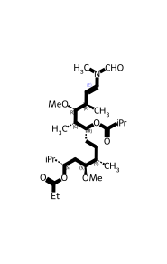 CCC(=O)O[C@@H](C[C@H](OC)[C@@H](C)CC[C@@H](OC(=O)C(C)C)[C@H](C)[C@H](OC)[C@H](C)/C=C/N(C)C=O)C(C)C